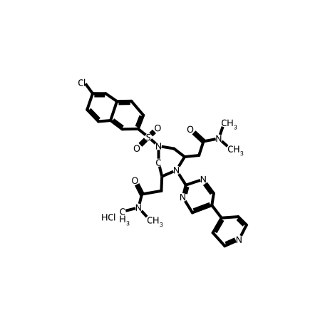 CN(C)C(=O)CC1CN(S(=O)(=O)c2ccc3cc(Cl)ccc3c2)CC(CC(=O)N(C)C)N1c1ncc(-c2ccncc2)cn1.Cl